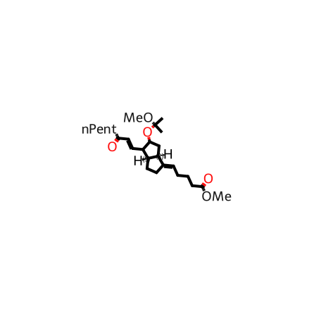 CCCCCC(=O)C=CC1C(OC(C)(C)OC)C[C@H]2C(=CCCCC(=O)OC)CC[C@H]12